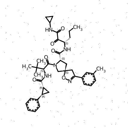 CCC[C@H](NC(=O)[C@@H]1C[C@]2(CC(c3cccc(C)c3)=NO2)CN1C(=O)[C@@H](NC(=O)[C@@H]1C[C@H]1c1ccccc1)C(C)(C)C)C(=O)C(=O)NC1CC1